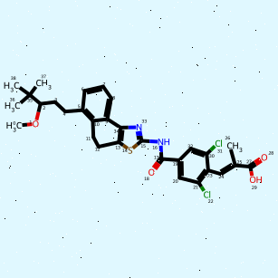 COC(CCc1cccc2c1CCc1sc(NC(=O)c3cc(Cl)c(/C=C(\C)C(=O)O)c(Cl)c3)nc1-2)C(C)(C)C